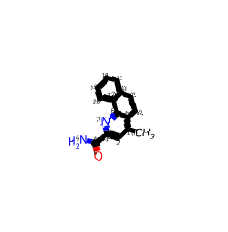 Cc1cc(C(N)=O)nc2c1ccc1ccccc12